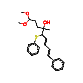 COC(CCC(C)(O)C(C=CC=Cc1ccccc1)Sc1ccccc1)OC